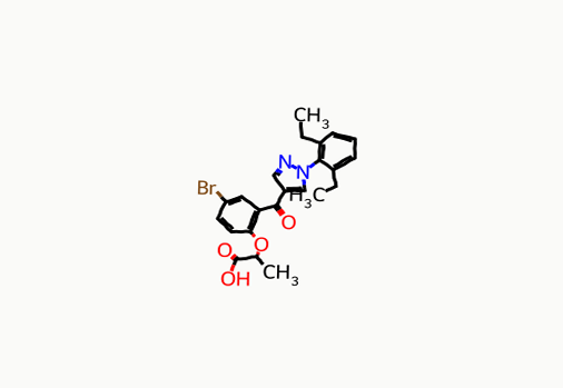 CCc1cccc(CC)c1-n1cc(C(=O)c2cc(Br)ccc2OC(C)C(=O)O)cn1